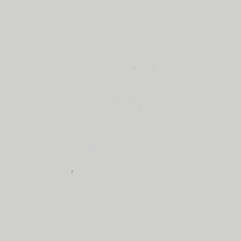 O=C(/C=C/c1ccc(CN(CCCn2ccnc2)C(=O)NC(=O)c2ccccc2)cc1)NO